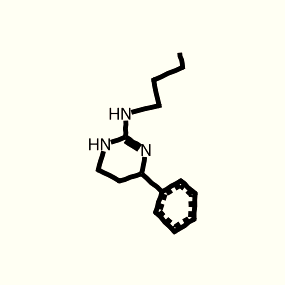 CCCCNC1=NC(c2ccccc2)CCN1